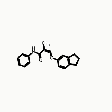 CC(=COc1ccc2c(c1)CCC2)C(=O)Nc1ccccc1